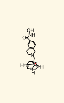 O=C(NO)c1ccc2c(c1)CCN(C[C@@]13C[C@@H]4C[C@@H](C[C@@H](C4)O1)C3)C2